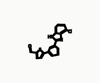 O=Cc1ccc(-c2cccc(-c3nc4c(Cl)cccc4[nH]3)c2)s1